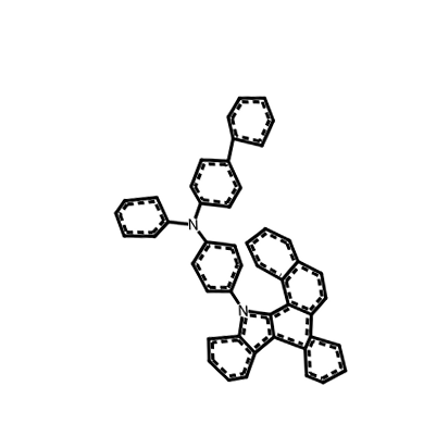 c1ccc(-c2ccc(N(c3ccccc3)c3ccc(-n4c5ccccc5c5c6ccccc6c6ccc7ccccc7c6c54)cc3)cc2)cc1